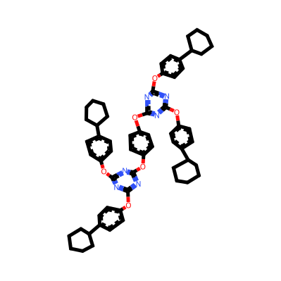 c1cc(Oc2nc(Oc3ccc(C4CCCCC4)cc3)nc(Oc3ccc(C4CCCCC4)cc3)n2)ccc1Oc1nc(Oc2ccc(C3CCCCC3)cc2)nc(Oc2ccc(C3CCCCC3)cc2)n1